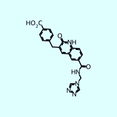 O=C(O)c1ccc(Cc2cc3cc(C(=O)NCn4cnnc4)ccc3[nH]c2=O)cc1